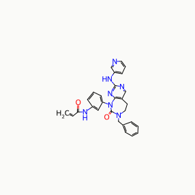 C=CC(=O)Nc1cccc(N2C(=O)N(Cc3ccccc3)CCc3cnc(Nc4cccnc4)nc32)c1